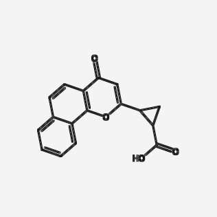 O=C(O)C1CC1c1cc(=O)c2ccc3ccccc3c2o1